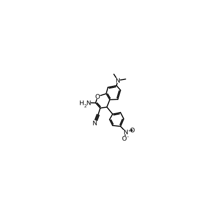 CN(C)c1ccc2c(c1)OC(N)=C(C#N)C2c1ccc([N+](=O)[O-])cc1